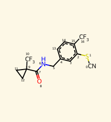 N#CSc1cc(CNC(=O)C2(C(F)(F)F)CC2)ccc1C(F)(F)F